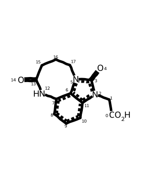 O=C(O)Cn1c(=O)n2c3c(cccc31)NC(=O)CCC2